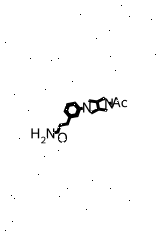 CC(=O)N1CC2CN(c3cccc(CCC(N)=O)c3)CC2C1